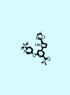 C[C@H]1CN=C(c2ccc(-c3cc(Oc4ccc(S(C)(=O)=O)nc4)cc(C(=O)N(C)C)c3)[nH]2)O1